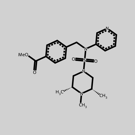 COC(=O)c1ccc(CN(c2cccnc2)S(=O)(=O)N2C[C@@H](C)N(C)[C@@H](C)C2)cc1